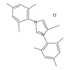 Cc1cc(C)c(-n2cc(C)[n+](-c3c(C)cc(C)cc3C)c2)c(C)c1.[Cl-]